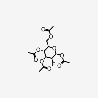 CC(=O)OC[C@H]1O[C@@H](OC(C)=O)[C@@H](F)[C@@H](OC(C)=O)[C@@H]1OC(C)=O